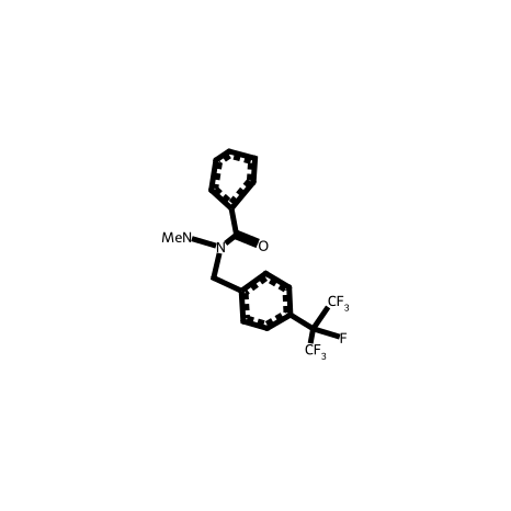 CNN(Cc1ccc(C(F)(C(F)(F)F)C(F)(F)F)cc1)C(=O)c1ccccc1